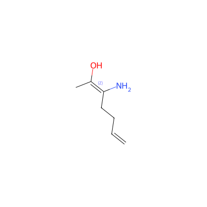 C=CCC/C(N)=C(\C)O